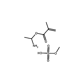 C=C(C)C(=O)OC(C)N.COS(=O)(=O)O